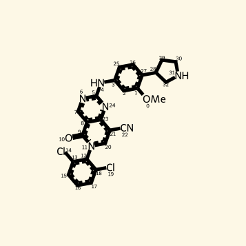 COc1cc(Nc2ncc3c(=O)n(-c4c(Cl)cccc4Cl)cc(C#N)c3n2)ccc1C1CCNC1